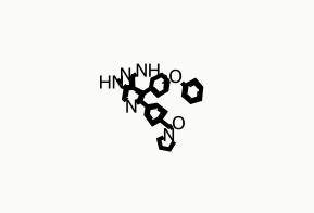 Nc1n[nH]c2cnc(-c3ccc(C(=O)N4CCCC4)cc3)c(C3=CC=C(Oc4ccccc4)CC3)c12